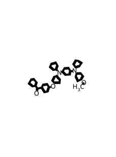 COc1ccc(N(c2ccccc2)c2ccc(N(c3ccccc3)c3ccc(Oc4ccc(C(=O)c5ccccc5)cc4)cc3)cc2)cc1